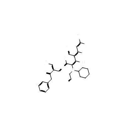 C=CCN(/C(C(=C=C/C(=C/C)C(=C)Cc1ccccc1)CCC)=C(C)/C(C=C)=C(\C)C=C(C)C)C1CCCCC1